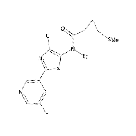 CCN(C(=O)C1CC1SC)c1sc(-c2cncc(F)c2)nc1Cl